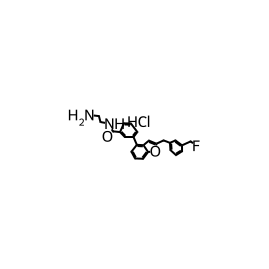 Cl.NCCNC(=O)c1cccc(-c2cccc3oc(Cc4cccc(CF)c4)cc23)c1